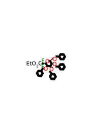 CCOC(=O)C(F)(F)[C@@H]1O[C@H](COCc2ccccc2)[C@@H](OCc2ccccc2)[C@H](OCc2ccccc2)[C@H]1OCc1ccccc1